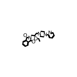 CCOC(CN1CCN(c2ccccn2)CC1)CN1C(=O)c2ccccc2C1=O